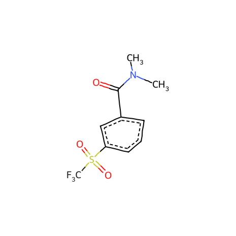 CN(C)C(=O)c1cccc(S(=O)(=O)C(F)(F)F)c1